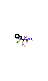 CC(c1cc2ccccc2s1)N(O)C(N)=O.Cl